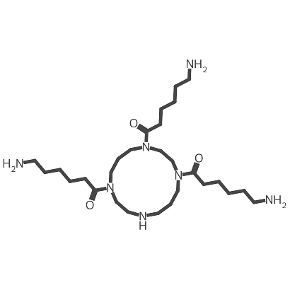 NCCCCCC(=O)N1CCCN(C(=O)CCCCCN)CCN(C(=O)CCCCCN)CCCNCC1